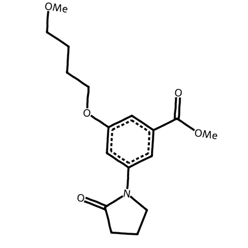 COCCCCOc1cc(C(=O)OC)cc(N2CCCC2=O)c1